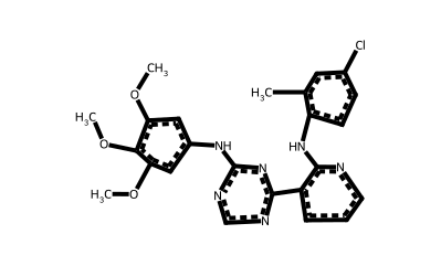 COc1cc(Nc2ncnc(-c3cccnc3Nc3ccc(Cl)cc3C)n2)cc(OC)c1OC